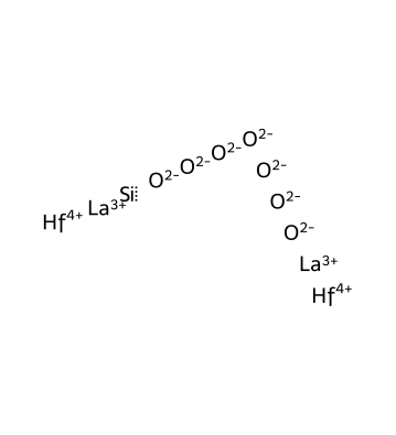 [Hf+4].[Hf+4].[La+3].[La+3].[O-2].[O-2].[O-2].[O-2].[O-2].[O-2].[O-2].[Si]